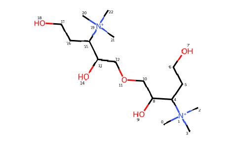 C[N+](C)(C)C(CCO)C(O)COCC(O)C(CCO)[N+](C)(C)C